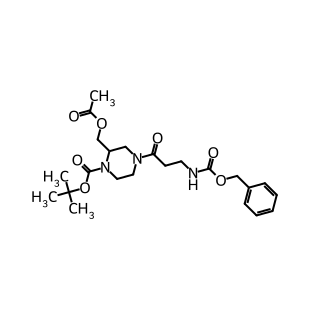 CC(=O)OCC1CN(C(=O)CCNC(=O)OCc2ccccc2)CCN1C(=O)OC(C)(C)C